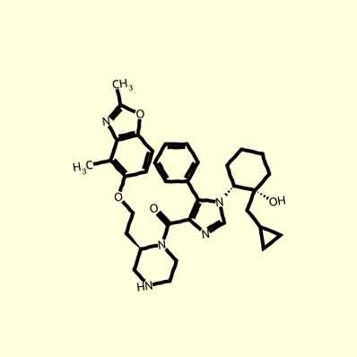 Cc1nc2c(C)c(OCC[C@@H]3CNCCN3C(=O)c3ncn([C@@H]4CCCC[C@@]4(O)CC4CC4)c3-c3ccccc3)ccc2o1